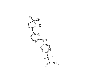 CC[C@]1(C#N)CCN(c2ccnc(Nc3ccc(C(C)(C)C(N)=O)nc3)n2)C1=O